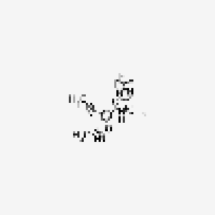 Cc1cnc(-c2cc(Oc3nnc(C)s3)cc(C(=O)N[C@H](C)c3cnc(C(F)(F)F)nc3)c2)s1